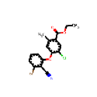 CCOC(=O)c1cc(Cl)c(Oc2cccc(Br)c2C#N)cc1C